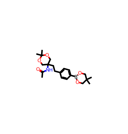 CC(=O)NC1(CCc2ccc(B3OCC(C)(C)CO3)cc2)COC(C)(C)OC1